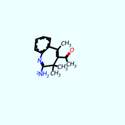 CC(=O)C1=C(C)c2ccccc2N=C([2NH2])C1(C)C